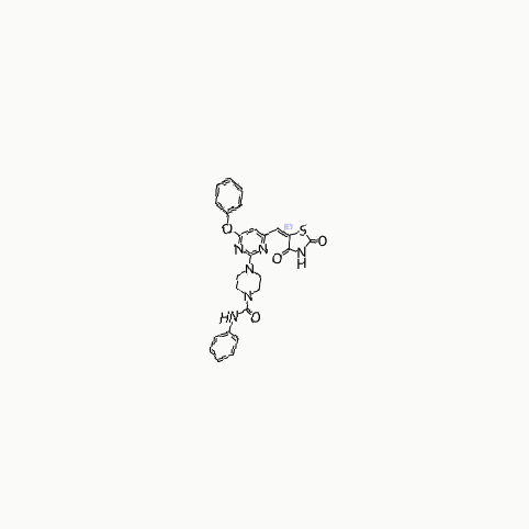 O=C1NC(=O)/C(=C\c2cc(Oc3ccccc3)nc(N3CCN(C(=O)Nc4ccccc4)CC3)n2)S1